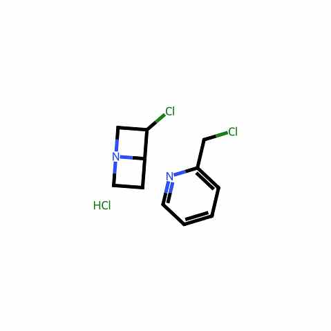 Cl.ClC1CN2CCC12.ClCc1ccccn1